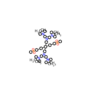 CC1(C)c2ccccc2N(c2ccc3c(c2)c2cc(N4c5ccccc5C(C)(C)c5ccccc54)ccc2n3-c2ccc(-c3cc(-c4ccc(-c5ccc(S(=O)(=O)c6ccccc6)cc5)cc4)c(-c4ccc(-n5c6ccc(N7c8ccccc8C(C)(C)c8ccccc87)cc6c6cc(N7c8ccccc8C(C)(C)c8ccccc87)ccc65)cc4)cc3-c3ccc(-c4ccc(S(=O)(=O)c5ccccc5)cc4)cc3)cc2)c2ccccc21